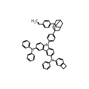 C=Cc1ccc(C23CC4CC(C2)CC(c2ccc(-n5c6ccc(N(c7ccccc7)c7ccccc7)cc6c6cc(N(c7ccccc7)c7ccc8c(c7)CC8)ccc65)cc2)(C4)C3)cc1